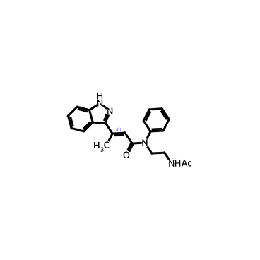 CC(=O)NCCN(C(=O)/C=C(\C)c1n[nH]c2ccccc12)c1ccccc1